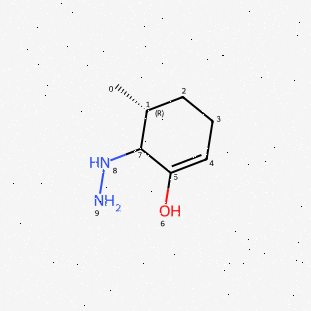 C[C@@H]1CCC=C(O)C1NN